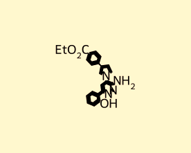 CCOC(=O)c1ccc([C@H]2CCN(c3cc(-c4ccccc4O)nnc3N)C2)cc1